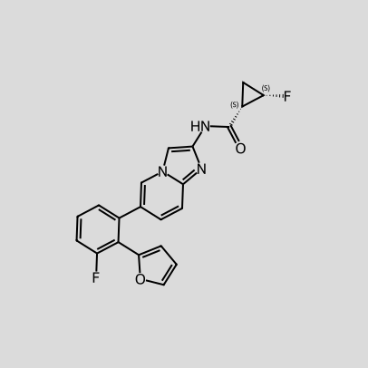 O=C(Nc1cn2cc(-c3cccc(F)c3-c3ccco3)ccc2n1)[C@@H]1C[C@@H]1F